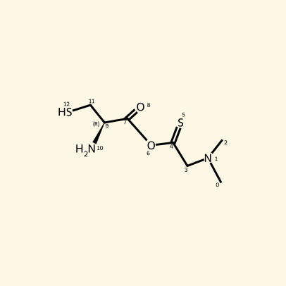 CN(C)CC(=S)OC(=O)[C@@H](N)CS